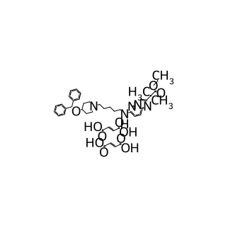 CCOC(=O)C(C)(C)c1cn2nc(NCCCCCN3CCC(OC(c4ccccc4)c4ccccc4)CC3)ccc2n1.O=C(O)/C=C/C(=O)O.O=C(O)/C=C/C(=O)O